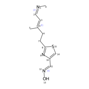 C/N=C\C=C(/C)CCc1nc(/C=N/O)cs1